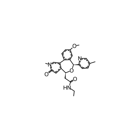 CCNC(=O)C[C@@H]1O[C@H](c2ccc(C)cn2)c2cc(OC)ccc2-c2cn(C)c(=O)cc21